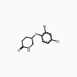 O=C1CCC(Oc2ccc(Cl)cc2Br)CN1